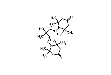 CC(O)(CON1C(C)(C)CC(=O)CC1(C)C)CON1C(C)(C)CC(=O)CC1(C)C